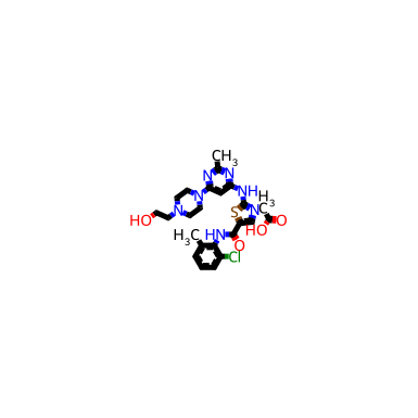 CC(=O)O.Cc1nc(Nc2ncc(C(=O)Nc3c(C)cccc3Cl)s2)cc(N2CCN(CCO)CC2)n1